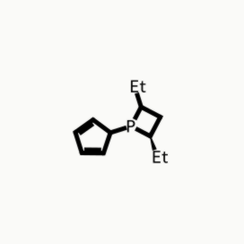 CCC1C[C@@H](CC)P1C1C=CC=C1